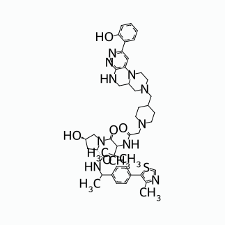 Cc1ncsc1-c1ccc(C(C)NC(=O)[C@@H]2C[C@@H](O)CN2C(=O)C(NC(=O)CN2CCC(CN3CCN4c5cc(-c6ccccc6O)nnc5NCC4C3)CC2)C(C)(C)C)cc1